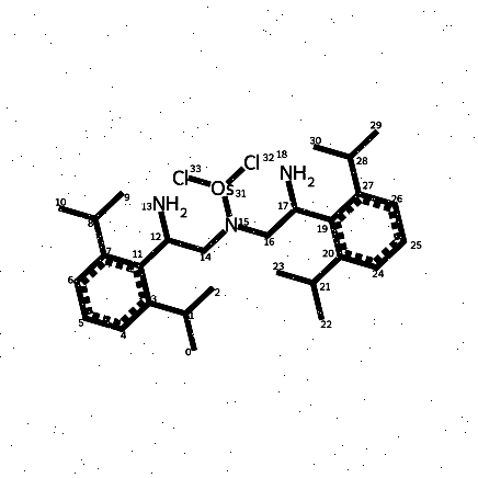 CC(C)c1cccc(C(C)C)c1C(N)C[N](CC(N)c1c(C(C)C)cccc1C(C)C)[Os]([Cl])[Cl]